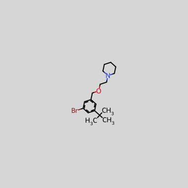 CC(C)(C)c1cc(Br)cc(COCCN2CCCCC2)c1